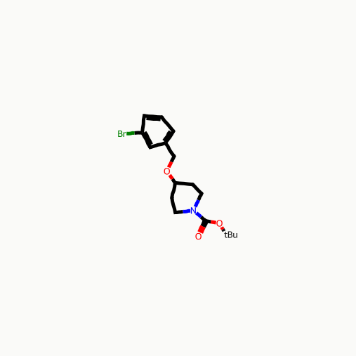 CC(C)(C)OC(=O)N1CCC(OCc2cccc(Br)c2)CC1